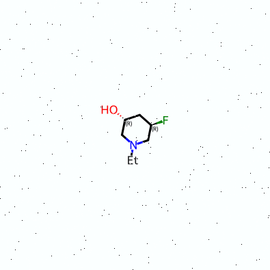 CCN1C[C@H](O)C[C@@H](F)C1